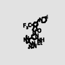 CCNc1cc(-c2c(-c3nncn3C)cnn2C)cc(N2Cc3c(cc(CN4CCC[C@@H](C)C4)cc3C(F)(F)F)C2=O)n1